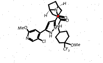 COc1cc(-c2cc(C(=O)N3[C@@H]4CC[C@H]3CC(C(=O)NC3CCC(OC)(C(F)(F)F)CC3)C4)n[nH]2)c(Cl)cn1